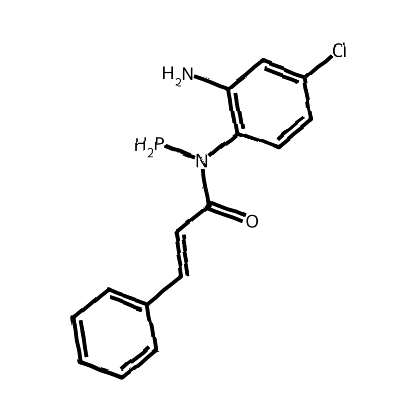 Nc1cc(Cl)ccc1N(P)C(=O)/C=C/c1ccccc1